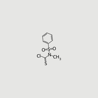 CN(C(=S)Cl)S(=O)(=O)c1ccccc1